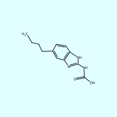 CCCCc1ccc2[nH]c(NC(=O)O)nc2c1